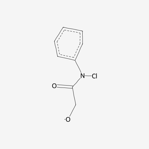 [O]CC(=O)N(Cl)c1ccccc1